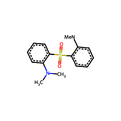 CNc1ccccc1S(=O)(=O)c1ccccc1N(C)C